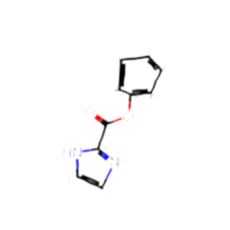 O=C(Oc1ccccc1)c1ncc[nH]1